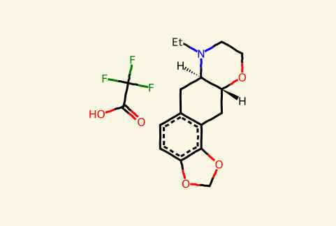 CCN1CCO[C@@H]2Cc3c(ccc4c3OCO4)C[C@H]21.O=C(O)C(F)(F)F